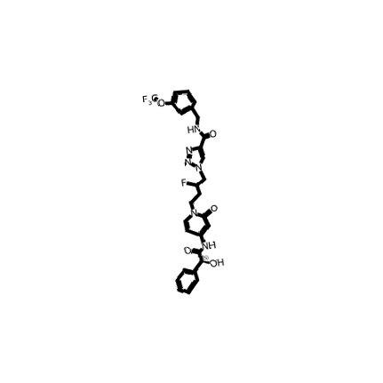 O=C(NCc1cccc(OC(F)(F)F)c1)c1cn(CC(F)CCn2ccc(NC(=O)[C@@H](O)c3ccccc3)cc2=O)nn1